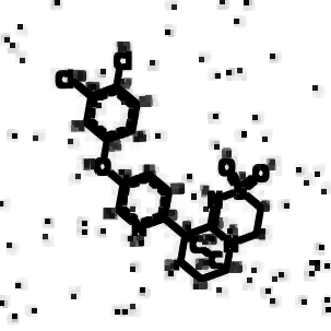 O=S1(=O)CCN2C(=N1)C1(c3ccc(Oc4ccc(Cl)c(Cl)c4)cn3)CCC2CC1